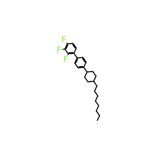 CCCCCCCCC1CCC(c2ccc(-c3ccc(F)c(F)c3F)cc2)CC1